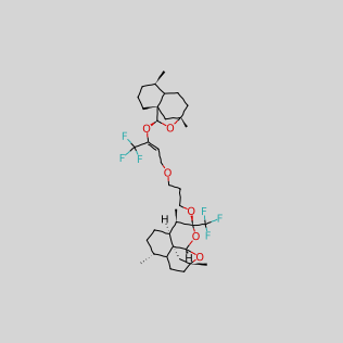 C[C@@H]1CCC[C@]23C[C@](C)(CCC12)O[C@H]3O/C(=C/COCCCO[C@@]1(C(F)(F)F)O[C@@H]2O[C@]3(C)CCC4[C@H](C)CC[C@@H]([C@H]1C)[C@]42C3)C(F)(F)F